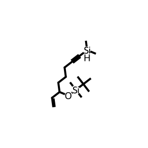 C=CC(CCCC#C[SiH](C)C)O[Si](C)(C)C(C)(C)C